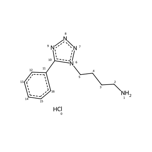 Cl.NCCCCn1nnnc1-c1ccccc1